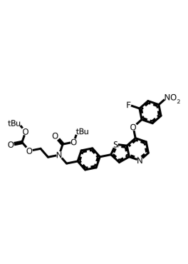 CC(C)(C)OC(=O)OCCN(Cc1ccc(-c2cc3nccc(Oc4ccc([N+](=O)[O-])cc4F)c3s2)cc1)C(=O)OC(C)(C)C